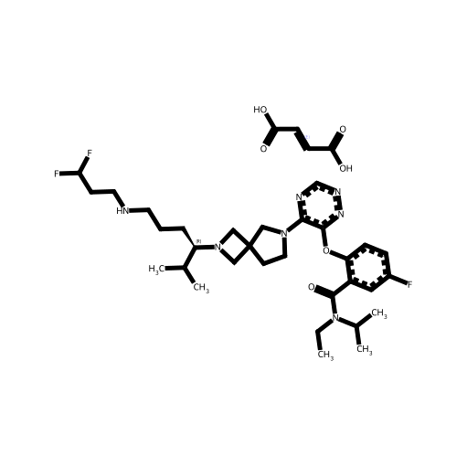 CCN(C(=O)c1cc(F)ccc1Oc1nncnc1N1CCC2(C1)CN([C@H](CCCNCCC(F)F)C(C)C)C2)C(C)C.O=C(O)/C=C/C(=O)O